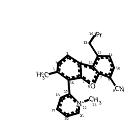 Cc1ccc2c(oc3c(C#N)ccc(CC(C)C)c32)c1-c1cccc[n+]1C